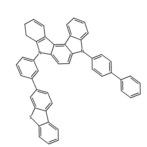 C1=Cc2c(n(-c3cccc(-c4ccc5c(c4)sc4ccccc45)c3)c3ccc4c(c5ccccc5n4-c4ccc(-c5ccccc5)cc4)c23)CC1